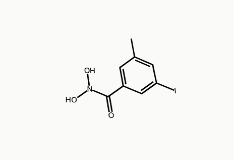 Cc1cc(I)cc(C(=O)N(O)O)c1